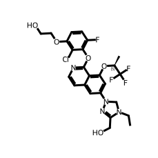 CCN1CN(c2cc(O[C@@H](C)C(F)(F)F)c3c(Oc4c(F)ccc(OCCO)c4Cl)nccc3c2)N=C1CO